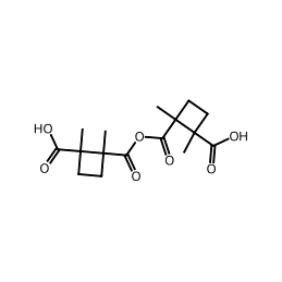 CC1(C(=O)O)CCC1(C)C(=O)OC(=O)C1(C)CCC1(C)C(=O)O